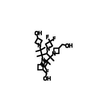 CC(C)(N1CC(O)C1)C(C)(C(N1CC(F)(F)C1)C(C)(N1CC(CO)C1)C(C)(C)N1CCC1CO)N1CC(F)C1